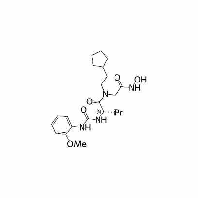 COc1ccccc1NC(=O)N[C@H](C(=O)N(CCC1CCCC1)CC(=O)NO)C(C)C